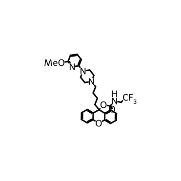 COc1cccc(N2CCN(CCCCC3(OC(=O)NCC(F)(F)F)c4ccccc4Oc4ccccc43)CC2)n1